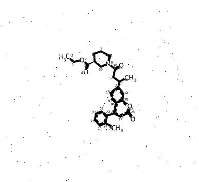 CCOC(=O)[C@H]1CCCN(C(=O)CC(C)c2ccc3c(-c4ccccc4C)cc(=O)oc3c2)C1